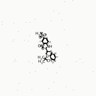 CC(C)(C)OCC(CNc1ccc(S(N)(=O)=O)cc1[N+](=O)[O-])Sc1ccccc1